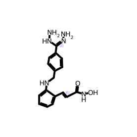 N/N=C(\NN)c1ccc(CNc2ccccc2/C=C/C(=O)NO)cc1